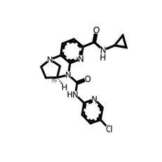 O=C(NC1CC1)c1ccc2c(n1)N(C(=O)Nc1ccc(Cl)cn1)[C@H]1CCN2C1